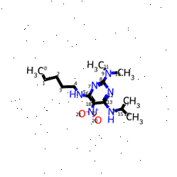 CCCCCNc1nc(N(C)C)nc(NC(C)C)c1[N+](=O)[O-]